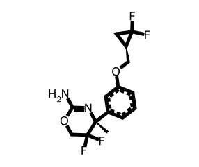 C[C@]1(c2cccc(OC[C@H]3CC3(F)F)c2)N=C(N)OCC1(F)F